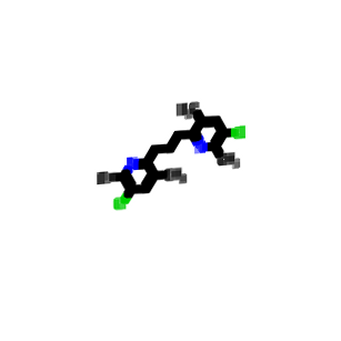 Cc1cc(Cl)c(C)nc1CCCc1nc(C(C)C)c(Cl)cc1C